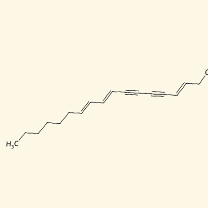 CCCCCCC=CC=CC#CC#CC=CCO